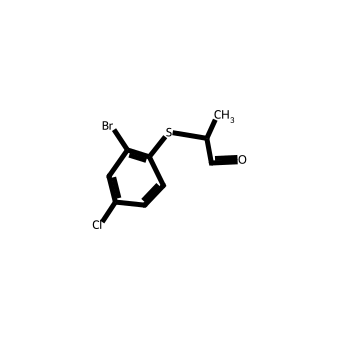 CC(C=O)Sc1ccc(Cl)cc1Br